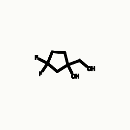 O[CH]C1(O)CCC(F)(F)C1